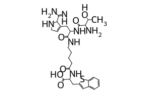 CC(O)C(N)C(=O)NC(CC1=CCNC1C(=N)N)C(=O)NCCCCC(=O)NC(Cc1cc2ccccc2s1)C(=O)O